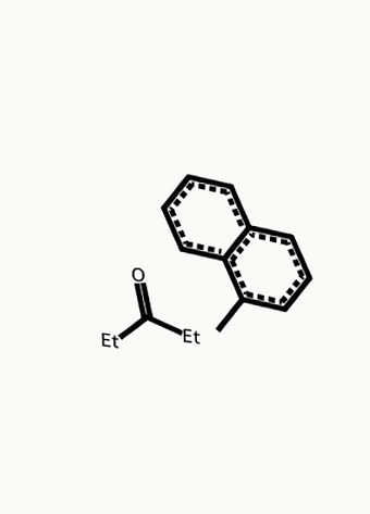 CCC(=O)CC.Cc1cccc2ccccc12